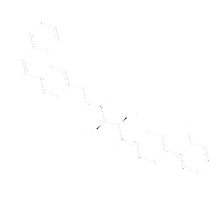 O=C(NCc1ccc(/C=C\c2ccccc2)cc1)[C@H](O)[C@@H](O)C(=O)N1CCN(c2ccccc2Cl)CC1